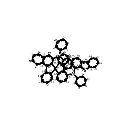 c1ccc(N(c2ccccc2)c2cc3ccccc3c3c2C2(c4ccccc4-c4c(N(c5ccccc5)c5cccc6c5sc5ccccc56)cccc42)c2ccccc2-3)cc1